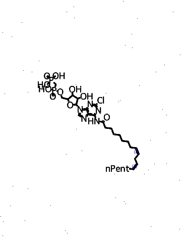 CCCCC/C=C\C/C=C\CCCCCCCC(=O)Nc1nc(Cl)nc2c1ncn2C1OC(COP(=O)(O)CP(=O)(O)O)C(O)C1O